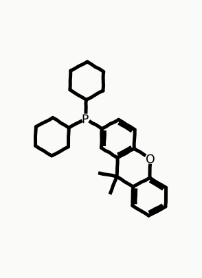 CC1(C)c2ccccc2Oc2ccc(P(C3CCCCC3)C3CCCCC3)cc21